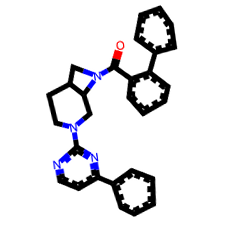 O=C(c1ccccc1-c1ccccc1)N1CC2CCN(c3nccc(-c4ccccc4)n3)CC21